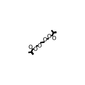 C=C(C)C(=O)OCOCCOCOC(=O)C(=C)C